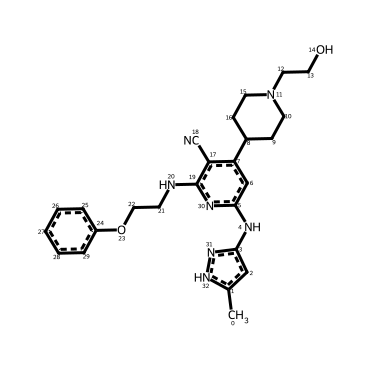 Cc1cc(Nc2cc(C3CCN(CCO)CC3)c(C#N)c(NCCOc3ccccc3)n2)n[nH]1